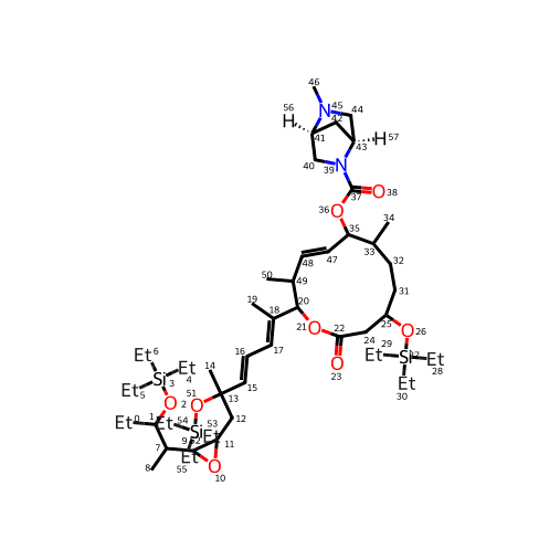 CCC(O[Si](CC)(CC)CC)C(C)C1OC1CC(C)(/C=C/C=C(\C)C1OC(=O)CC(O[Si](CC)(CC)CC)CCC(C)C(OC(=O)N2C[C@@H]3C[C@H]2CN3C)/C=C/C1C)O[Si](CC)(CC)CC